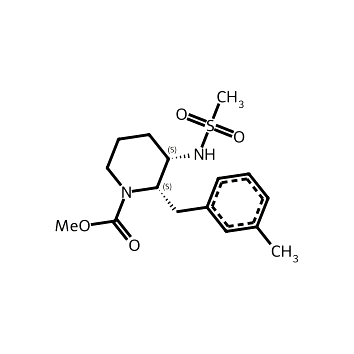 COC(=O)N1CCC[C@H](NS(C)(=O)=O)[C@@H]1Cc1cccc(C)c1